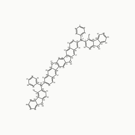 Cc1c(N(c2ccccc2)c2ccc3cc4c(cc3c2)oc2cc3c(cc24)oc2cc4cc(N(c5ccccc5)c5ccc6oc7ccccc7c6c5C)ccc4cc23)ccc2oc3ccccc3c12